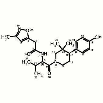 Cc1cc(CC(=O)N[C@@H](C(=O)N2CC[C@H](c3ccc(Cl)cc3)C(C)(C)C2)C(C)C)on1